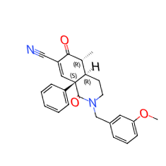 COc1cccc(CN2CC[C@@H]3[C@@H](C)C(=O)C(C#N)=C[C@@]3(c3ccccc3)C2=O)c1